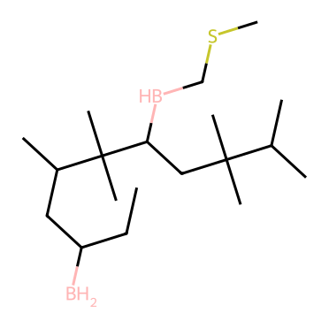 BC(CC)CC(C)C(C)(C)C(BCSC)CC(C)(C)C(C)C